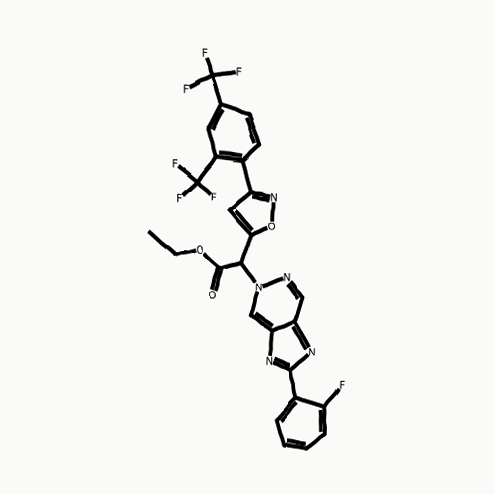 CCOC(=O)C(c1cc(-c2ccc(C(F)(F)F)cc2C(F)(F)F)no1)n1cc2nc(-c3ccccc3F)nc-2cn1